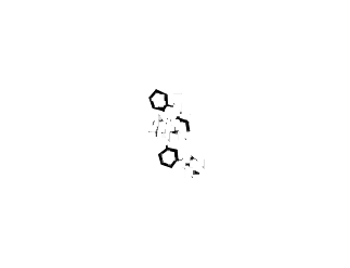 CS(=O)(=O)Nc1ccccc1Nc1nc(Nc2cccc(-n3cncn3)c2)ncc1Cl